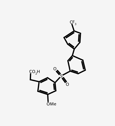 COc1cc(CC(=O)O)cc(S(=O)(=O)c2cccc(-c3ccc(C(F)(F)F)cc3)c2)c1